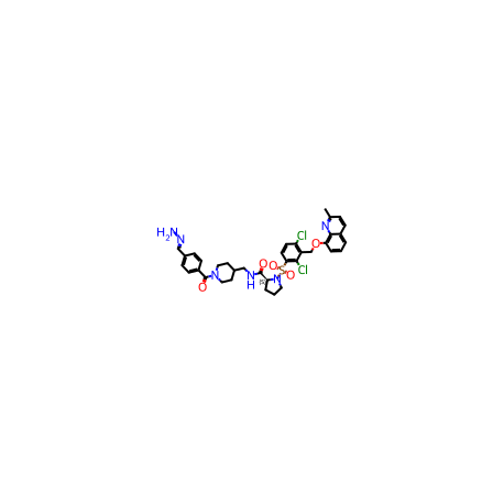 Cc1ccc2cccc(OCc3c(Cl)ccc(S(=O)(=O)N4CCC[C@H]4C(=O)NCC4CCN(C(=O)c5ccc(C=NN)cc5)CC4)c3Cl)c2n1